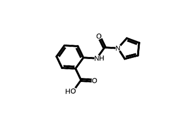 O=C(O)c1ccccc1NC(=O)n1cccc1